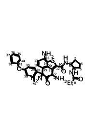 CCC(=O)N[C@@H]1CCC[C@@H]1NC(=O)c1sc2c(N)ccc3c2c1C(N)C(=O)C3(N)c1ccc(Oc2ccccc2)cc1C